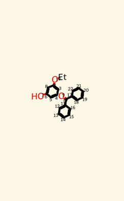 CCOc1cccc(O)c1.O=C(c1ccccc1)c1ccccc1